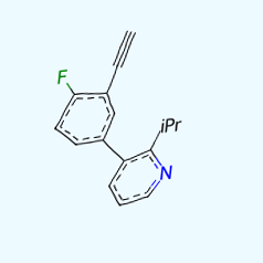 C#Cc1cc(-c2cccnc2C(C)C)ccc1F